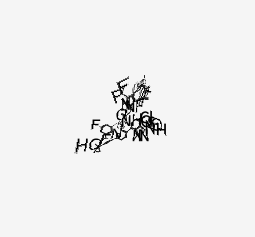 C[C@@H]1c2c(C(F)F)nn(CC(=O)N[C@@H](Cc3cc(F)cc(F)c3)c3nc(C#CC4(O)CC4)ccc3-c3ccc(Cl)c4c(NS(C)(=O)=O)nn(C)c34)c2C(F)(F)[C@@H]1C